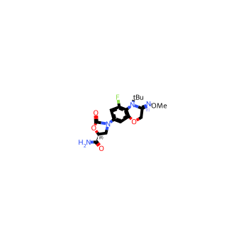 CO/N=C1\COc2cc(N3C[C@H](C(N)=O)OC3=O)cc(F)c2N1C(C)(C)C